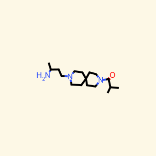 CC(N)CCN1CCC2(CC1)CCN(C(=O)C(C)C)CC2